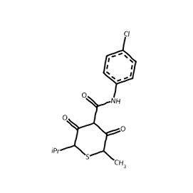 CC1SC(C(C)C)C(=O)C(C(=O)Nc2ccc(Cl)cc2)C1=O